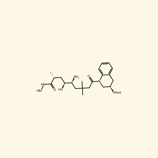 CCCCC[C@@H]1Cc2ccccc2N(C(=O)CC(C)(C)C[C@H](N)[C@@H](O)C[C@@H](C)C(=O)NCCCC)C1